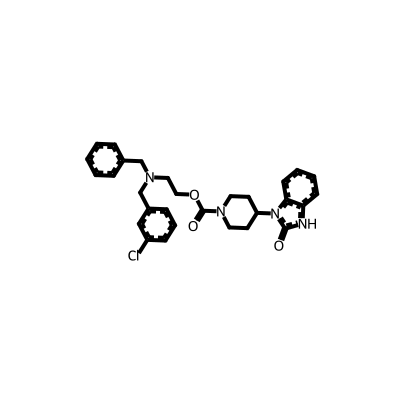 O=C(OCCN(Cc1ccccc1)Cc1cccc(Cl)c1)N1CCC(n2c(=O)[nH]c3ccccc32)CC1